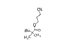 CCC(C)C(C)(C)C(=O)OCCCC#N